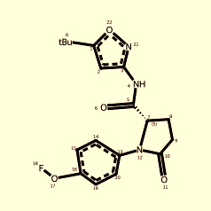 CC(C)(C)c1cc(NC(=O)[C@@H]2CCC(=O)N2c2ccc(OF)cc2)no1